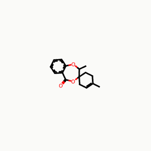 CC1=CCC2(CC1)OC(=O)c1ccccc1OC2C